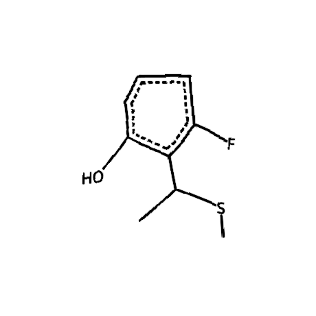 CSC(C)c1c(O)cccc1F